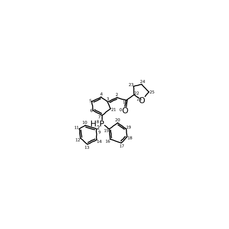 O=C(C=C1C=CC=C([PH2](c2ccccc2)c2ccccc2)C1)C1CCCO1